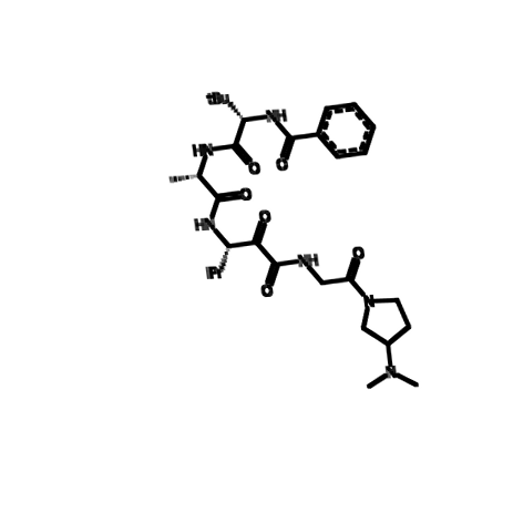 CC(C)[C@H](NC(=O)[C@H](C)NC(=O)[C@@H](NC(=O)c1ccccc1)C(C)(C)C)C(=O)C(=O)NCC(=O)N1CCC(N(C)C)C1